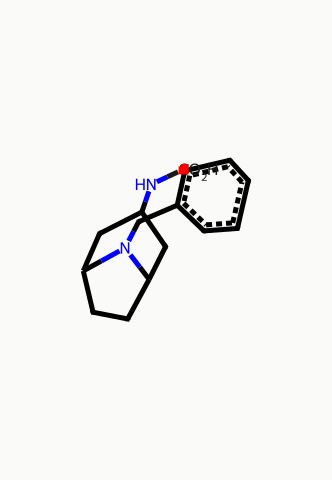 O=C(O)NC1CC2CCC(C1)N2Cc1ccccc1